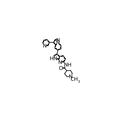 CN1CCC(C(=O)Nc2ccc3c(-c4ccn5ncc(-c6cccnc6)c5c4)c[nH]c3n2)CC1